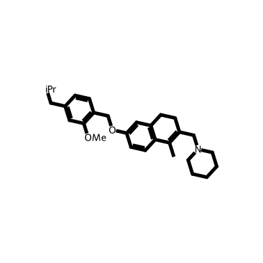 COc1cc(CC(C)C)ccc1COc1ccc2c(c1)CCC(CN1CCCCC1)=C2C